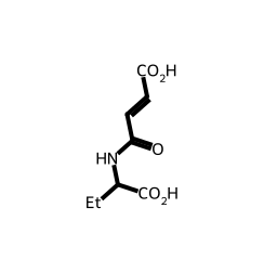 CCC(NC(=O)C=CC(=O)O)C(=O)O